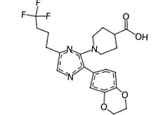 O=C(O)C1CCN(c2nc(CCCC(F)(F)F)cnc2-c2ccc3c(c2)OCCO3)CC1